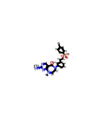 CCNc1ncc2c(n1)N(C)CCN(c1cccc(CCOS(=O)(=O)c3ccc(C)cc3)c1)C2=O